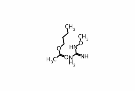 CCCCOC(C)=O.CONC(=N)N